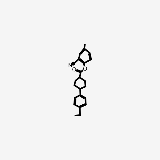 CCc1ccc(C2CCC(C(=O)Oc3ccc(C)cc3C#N)CC2)cc1